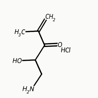 C=C(C)C(=O)C(O)CN.Cl